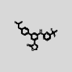 O=C1OCCN1c1cc(Nc2nccc(C(F)(F)F)n2)cc(-c2ccc(CC(F)F)cc2)c1